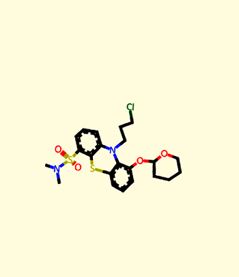 CN(C)S(=O)(=O)c1cccc2c1Sc1cccc(OC3CCCCO3)c1N2CCCCl